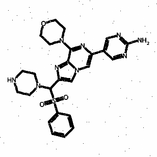 Nc1ncc(-c2cn3cc(C(N4CCNCC4)S(=O)(=O)c4ccccc4)nc3c(N3CCOCC3)n2)cn1